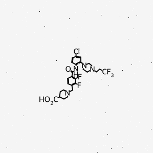 O=C(Nc1ccc(Cl)cc1N1CCN(CCC(F)(F)F)CC1)c1ccc(CN2CCC(C(=O)O)CC2)c(F)c1F